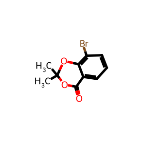 CC1(C)OC(=O)c2cccc(Br)c2O1